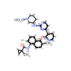 Cc1ccc2c(NC(=O)C3(C)CC3)c(F)ccc2c1Oc1ncccc1-c1ccnc(NC2CCCN(C(=O)O)C2)n1